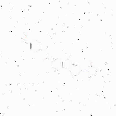 CC1c2cc(C(=O)Oc3ccc(C(=O)O)cc3)ccc2-c2ccc(N3C(=O)C=CC3=O)cc21